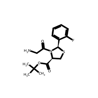 CC(C)(C)OC(=O)[C@@H]1CS[C@H](c2ccccc2F)N1C(=O)CN